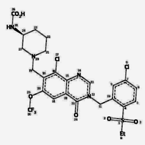 CCS(=O)(=O)c1ccc(Cl)cc1Cn1cnc2c(Cl)c(CN3CCC[C@H](NC(=O)O)C3)c(OC(F)(F)F)cc2c1=O